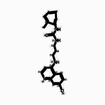 Cc1ccccc1NC(=O)NCCCNc1ccnc2cc(Cl)ccc12